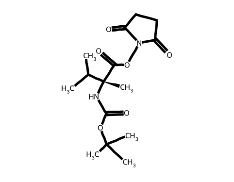 CC(C)[C@@](C)(NC(=O)OC(C)(C)C)C(=O)ON1C(=O)CCC1=O